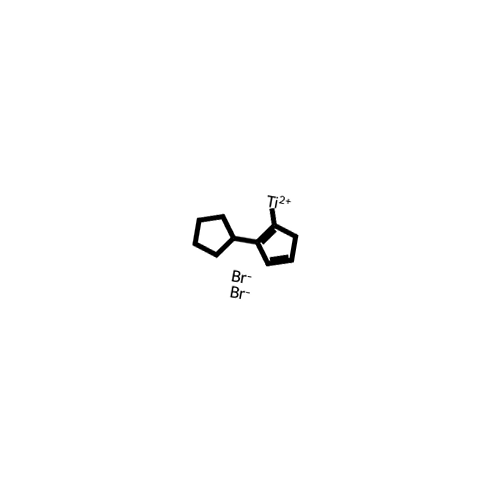 [Br-].[Br-].[Ti+2][C]1=C(C2CCCC2)C=CC1